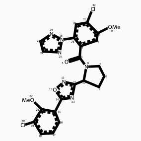 COc1cc(C(=O)N2CCCC2c2noc(-c3cccc(Cl)c3OC)n2)c(-n2nccn2)cc1Cl